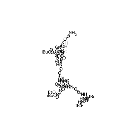 CCOC(=O)C(C)(COC(=O)OCC(C)C)COC(=O)OCC(C)(COC(=O)OCC(C)(CO)C(=O)OCC(O)CNCCOCCOCCN)C(=O)OCC(O)CNCCOCCOCCNCC(O)COC(=O)C(C)(COC(=O)OCC(C)(CO)C(=O)OCC(O)CNCCOCCOCCNCCC(NC(=O)C(C)NC(=O)OC(C)(C)C)C(=O)OC(C)(C)C)COC(=O)OCC(C)(COC(=O)OCC(C)C)C(=O)OCC